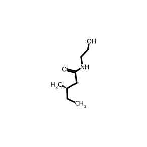 CC[C@@H](C)[CH]C(=O)NCCO